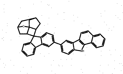 c1ccc2c(c1)-c1cc(-c3ccc4[nH]c5c6ccccc6ccc5c4c3)ccc1C21C2CC3CC4CC1C2(C3)C4